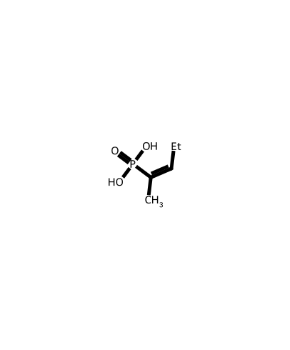 CCC=C(C)P(=O)(O)O